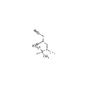 CC(CC(C#N)CC#N)S(C)(C)F